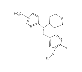 CCOc1cc(CN(c2ccc(C(=O)O)cn2)C2CCNCC2)ccc1F